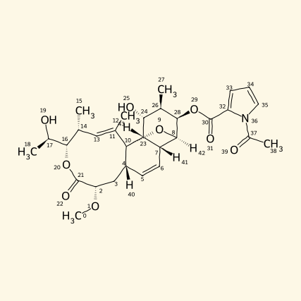 CO[C@H]1C[C@H]2C=C[C@H]3[C@H]4O[C@]2(/C(C)=C/[C@@H](C)[C@@H]([C@@H](C)O)OC1=O)[C@@H]3[C@H](O)[C@@H](C)[C@H]4OC(=O)c1cccn1C(C)=O